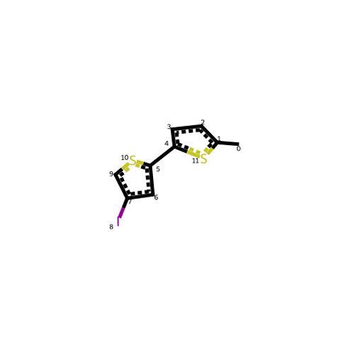 Cc1ccc(-c2cc(I)cs2)s1